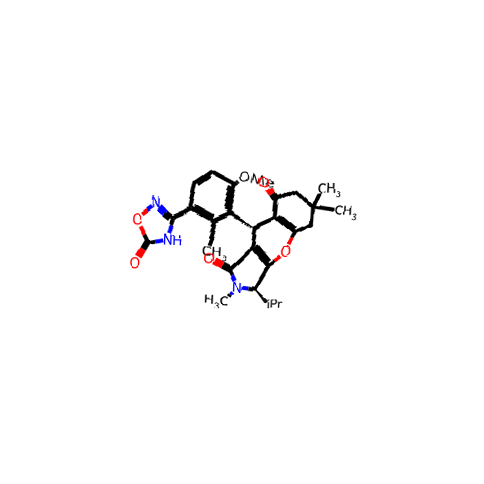 COc1ccc(-c2noc(=O)[nH]2)c(C)c1[C@H]1C2=C(CC(C)(C)CC2=O)OC2=C1C(=O)N(C)[C@@H]2C(C)C